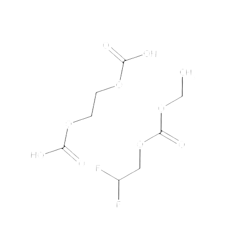 CCOC(=O)OCC(F)F.O=C(O)OCCOC(=O)O